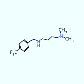 CN(C)CCCCNCc1ccc(C(F)(F)F)cc1